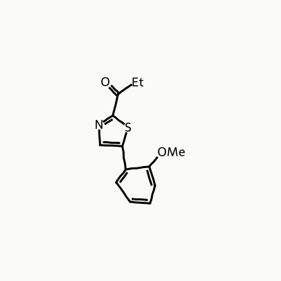 CCC(=O)c1ncc(-c2ccccc2OC)s1